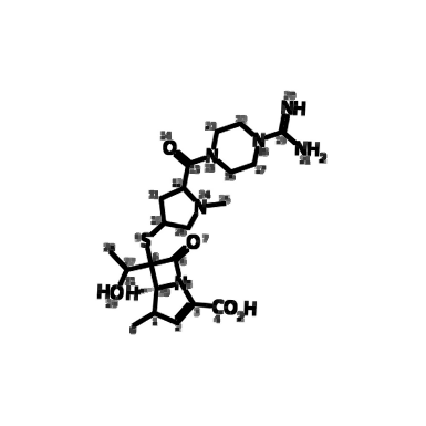 CC1C=C(C(=O)O)N2C(=O)C(SC3CC(C(=O)N4CCN(C(=N)N)CC4)N(C)C3)(C(C)O)[C@H]12